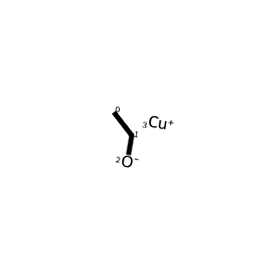 CC[O-].[Cu+]